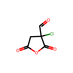 O=CC1(Cl)CC(=O)OC1=O